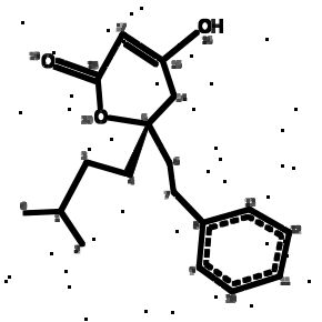 CC(C)CC[C@]1(CCc2ccccc2)CC(O)=CC(=O)O1